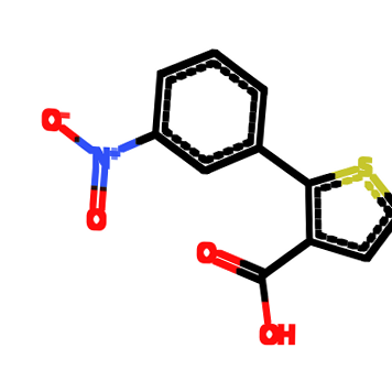 O=C(O)c1ccsc1-c1cccc([N+](=O)[O-])c1